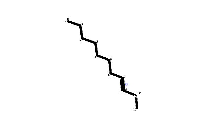 [CH2]CCCCCC/C=C/SC